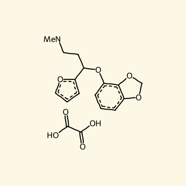 CNCCC(Oc1cccc2c1OCO2)c1ccco1.O=C(O)C(=O)O